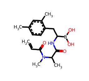 C=CC(=O)N(C)C(C)C(=O)NC(Cc1ccc(C)cc1C)B(O)O